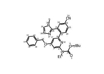 CCN(C(=O)OC(C)(C)C)c1cc(OCc2ccccc2)cc(-c2ccc(C#N)cc2-c2nncn2C)n1